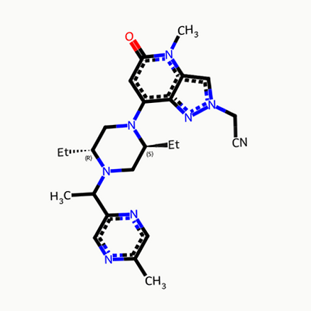 CC[C@H]1CN(C(C)c2cnc(C)cn2)[C@H](CC)CN1c1cc(=O)n(C)c2cn(CC#N)nc12